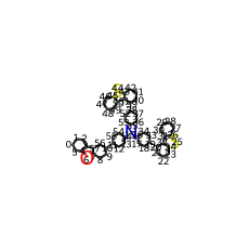 c1ccc2c(c1)oc1ccc(-c3ccc(N(c4ccc(-c5cccc6sc7ccccc7c56)cc4)c4ccc(-c5cccc6sc7ccccc7c56)cc4)cc3)cc12